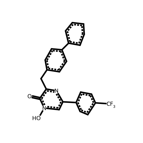 O=c1c(Cc2ccc(-c3ccccc3)cc2)nc(-c2ccc(C(F)(F)F)cc2)cn1O